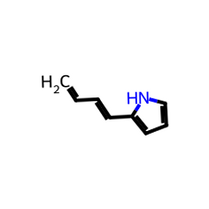 C=CC=Cc1ccc[nH]1